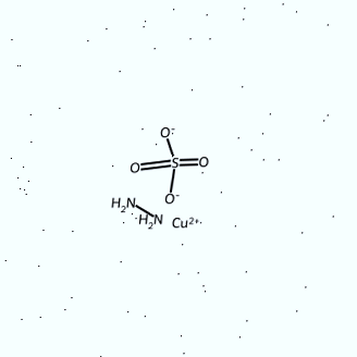 NN.O=S(=O)([O-])[O-].[Cu+2]